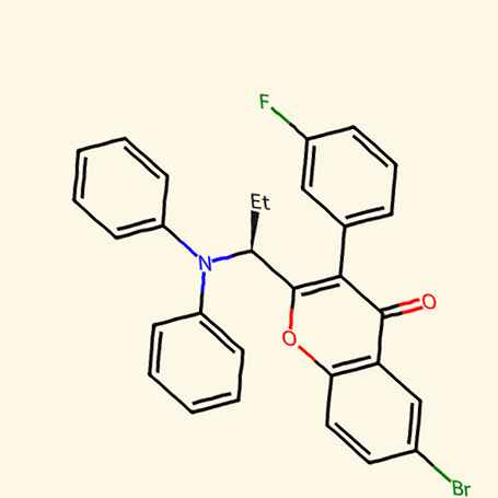 CC[C@@H](c1oc2ccc(Br)cc2c(=O)c1-c1cccc(F)c1)N(c1ccccc1)c1ccccc1